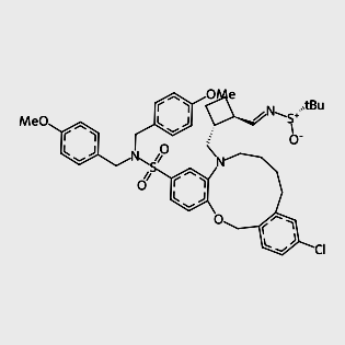 COc1ccc(CN(Cc2ccc(OC)cc2)S(=O)(=O)c2ccc3c(c2)N(C[C@@H]2CC[C@H]2/C=N/[S@@+]([O-])C(C)(C)C)CCCCc2cc(Cl)ccc2CO3)cc1